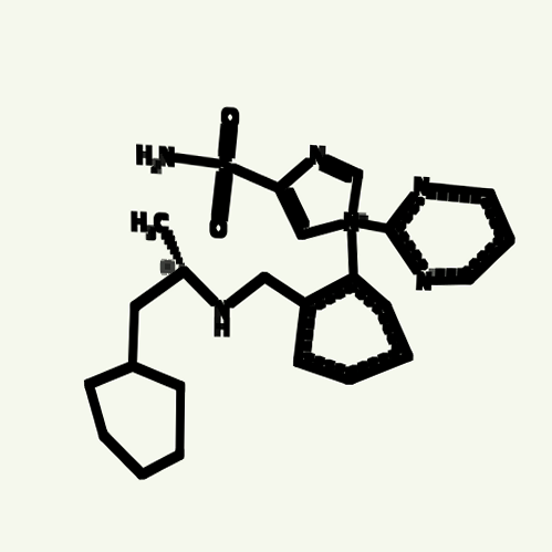 C[C@@H](CC1CCCCC1)NCc1ccccc1[N+]1(c2ncccn2)C=NC(S(N)(=O)=O)=C1